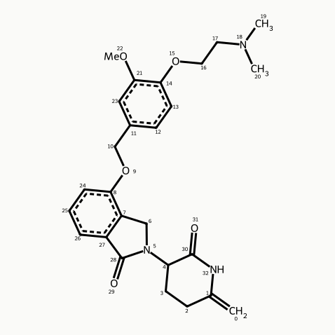 C=C1CCC(N2Cc3c(OCc4ccc(OCCN(C)C)c(OC)c4)cccc3C2=O)C(=O)N1